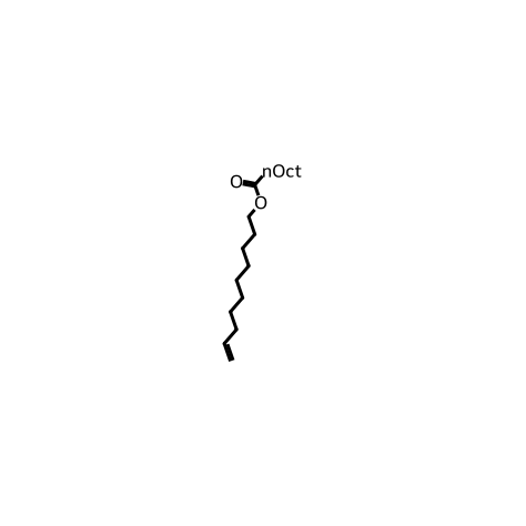 C=CCCCCCCCCOC(=O)CCCCCCCC